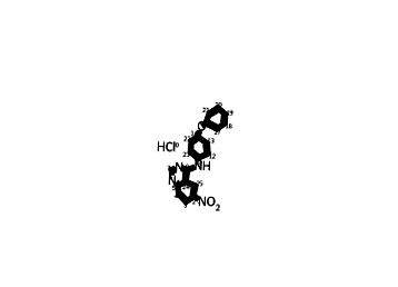 Cl.O=[N+]([O-])c1ccc2ncnc(Nc3ccc(Oc4ccccc4)cc3)c2c1